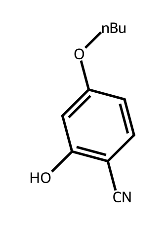 CCCCOc1ccc(C#N)c(O)c1